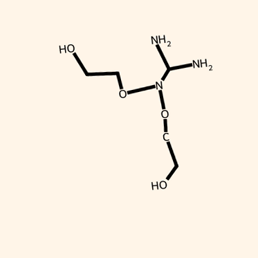 NC(N)N(OCCO)OCCO